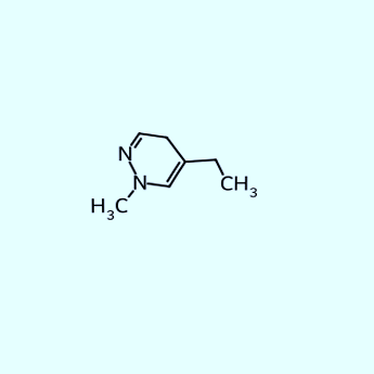 CCC1=CN(C)N=CC1